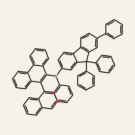 c1ccc(-c2ccc3c(c2)C(c2ccccc2)(c2ccccc2)c2cc(N(c4ccccc4)c4c(-c5cccc6ccccc56)c5ccccc5c5ccccc45)ccc2-3)cc1